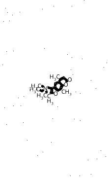 CC[N+](CC)(CC)Cc1c(C)oc2c(C)c3oc(=O)cc(C)c3cc12